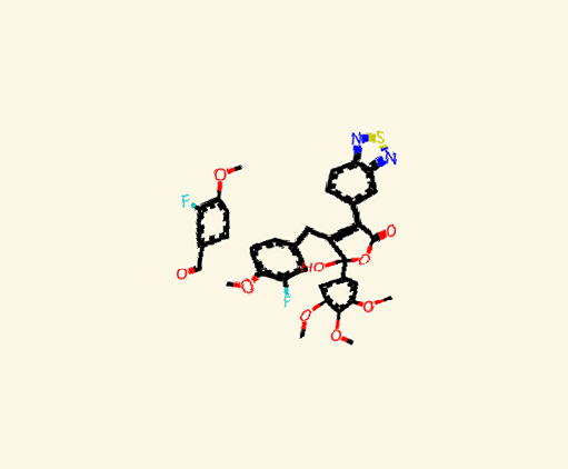 COc1ccc(C=O)cc1F.COc1ccc(CC2=C(c3ccc4nsnc4c3)C(=O)OC2(O)c2cc(OC)c(OC)c(OC)c2)cc1F